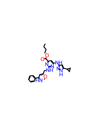 CCCCOC(=O)c1cc(Nc2cc(C3CC3)[nH]n2)nc(NC/C(=C/C(=N)c2ccccc2)OC)n1